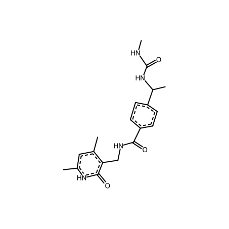 CNC(=O)NC(C)c1ccc(C(=O)NCc2c(C)cc(C)[nH]c2=O)cc1